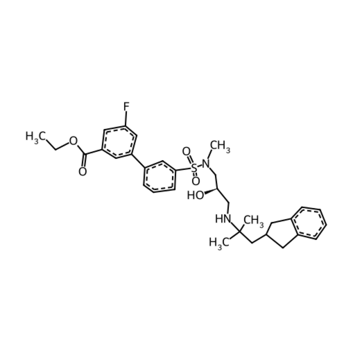 CCOC(=O)c1cc(F)cc(-c2cccc(S(=O)(=O)N(C)C[C@H](O)CNC(C)(C)CC3Cc4ccccc4C3)c2)c1